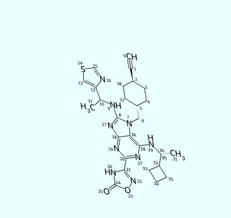 C#C[C@H]1CC[C@H](Cn2c(NC(C)c3cscn3)nc3nc(-c4noc(=O)[nH]4)nc(N[C@H](C)C4CCC4)c32)CC1